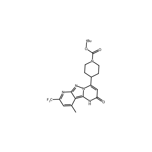 Cc1cc(C(F)(F)F)nc2nn3c(C4CCN(C(=O)OC(C)(C)C)CC4)cc(=O)[nH]c3c12